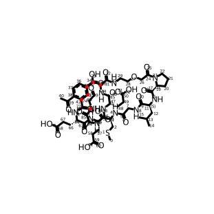 CSC[C@H](NC(=O)CNC(=O)[C@H](CC(C)C)NC(=O)[C@@H]1CCCN1C(=O)COCCNC(=O)[C@H](Cc1ccc(C(C)=O)cc1)NC(=O)[C@H](CCC(=O)O)NC(=O)[C@H](CCC(=O)O)NC(=O)[C@H](CCC(=O)O)NC(=O)CCCC(=O)O)C(=O)N[C@@H](C)C(=O)NCC=O